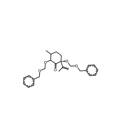 C=C(C)[C@@]1(OCOCc2ccccc2)CCC(C)C(OCOCc2ccccc2)C1=O